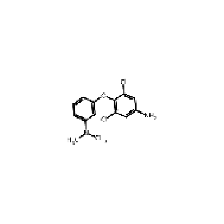 CN(C)c1cccc(Oc2c(Cl)cc(N)cc2Cl)c1